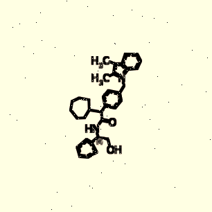 Cc1c(C)n(Cc2ccc(C(C(=O)N[C@@H](CO)c3ccccc3)C3CCCCCC3)cc2)c2ccccc12